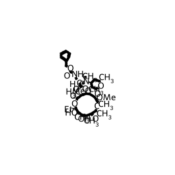 CC[C@H]1OC(=O)[C@H](C)[C@@H](OC(=O)CCNC(=O)OCc2ccccc2)[C@H](C)[C@@H](O[C@@H]2O[C@H](C)C[C@H](N(C)C)[C@H]2OC)[C@@](C)(OC)C[C@@H](C)C(=O)[C@H](C)[C@@H](O)[C@]1(C)O